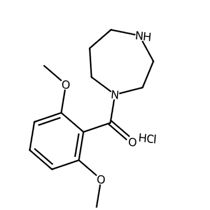 COc1cccc(OC)c1C(=O)N1CCCNCC1.Cl